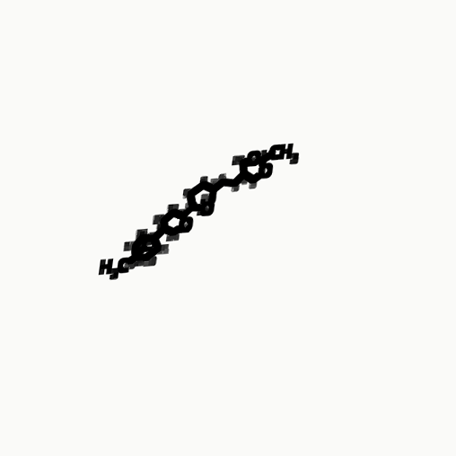 CC1OCC(CCC2CC[C@H](C3CCC(C45CCC(C)(CC4)CC5)CO3)OC2)CO1